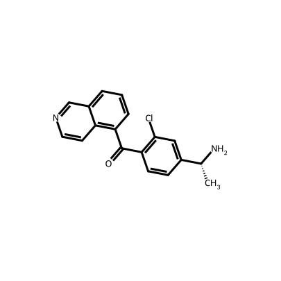 C[C@@H](N)c1ccc(C(=O)c2cccc3cnccc23)c(Cl)c1